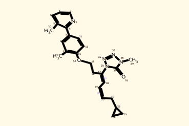 Cc1cc(-c2ncccc2C)ccc1OCC/C(=C\C=C/CC1CC1)n1nnn(C)c1=O